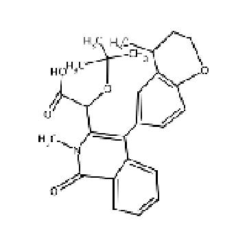 CC1CCOc2ccc(-c3c(C(OC(C)(C)C)C(=O)O)n(C)c(=O)c4ccccc34)cc21